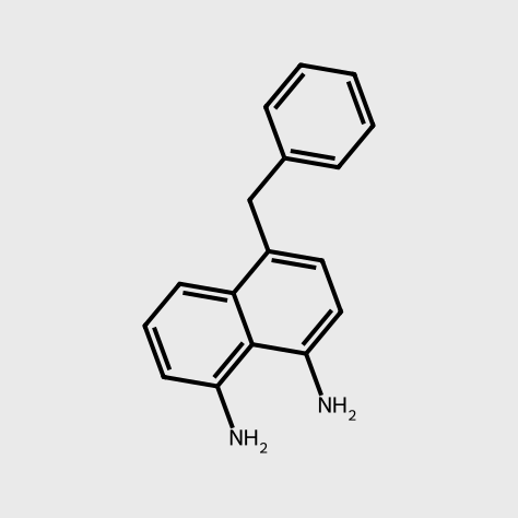 Nc1cccc2c(Cc3ccccc3)ccc(N)c12